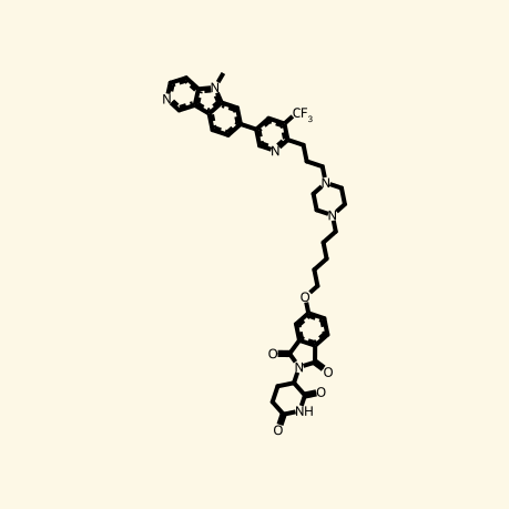 Cn1c2ccncc2c2ccc(-c3cnc(CCCN4CCN(CCCCCOc5ccc6c(c5)C(=O)N(C5CCC(=O)NC5=O)C6=O)CC4)c(C(F)(F)F)c3)cc21